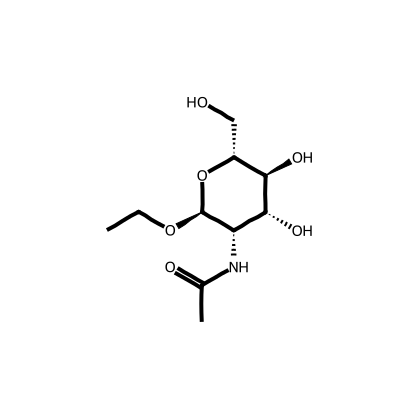 CCO[C@H]1O[C@H](CO)[C@@H](O)[C@H](O)[C@@H]1NC(C)=O